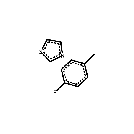 Cc1ccc(F)cc1.c1cscn1